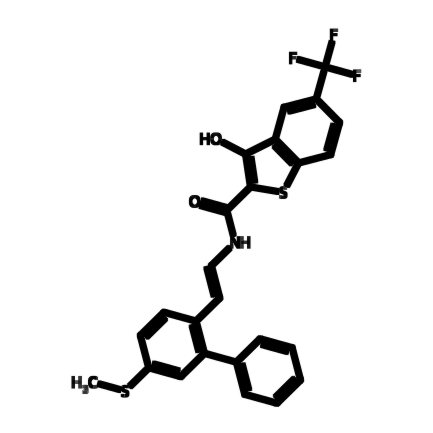 CSc1ccc(C=CNC(=O)c2sc3ccc(C(F)(F)F)cc3c2O)c(-c2ccccc2)c1